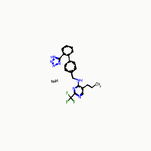 CCCc1cnc(C(F)(F)F)nc1NCc1ccc(-c2ccccc2-c2nnn[nH]2)cc1.[NaH]